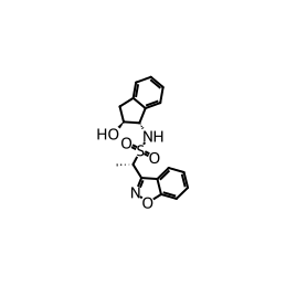 C[C@@H](c1noc2ccccc12)S(=O)(=O)N[C@H]1c2ccccc2C[C@@H]1O